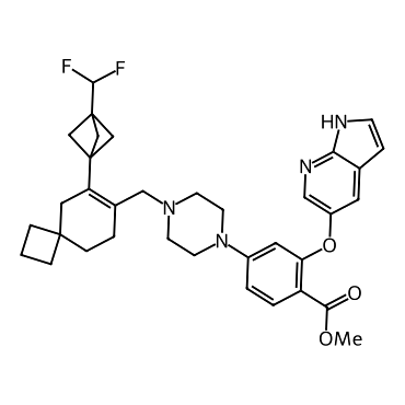 COC(=O)c1ccc(N2CCN(CC3=C(C45CC(C(F)F)(C4)C5)CC4(CCC4)CC3)CC2)cc1Oc1cnc2[nH]ccc2c1